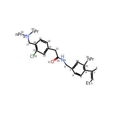 CC/C=C(/C)c1ccc(CNC(=O)Cc2ccc(CN(CCC)CCC)c(Cl)c2)cc1CCC